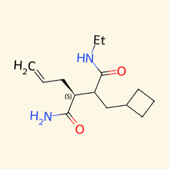 C=CC[C@H](C(N)=O)C(CC1CCC1)C(=O)NCC